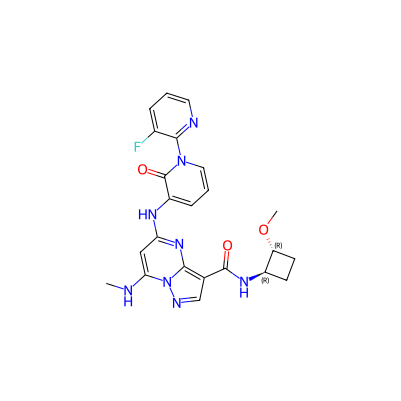 CNc1cc(Nc2cccn(-c3ncccc3F)c2=O)nc2c(C(=O)N[C@@H]3CC[C@H]3OC)cnn12